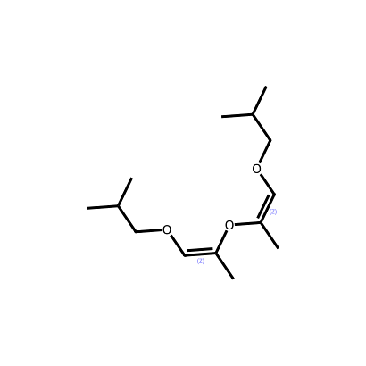 C/C(=C/OCC(C)C)O/C(C)=C\OCC(C)C